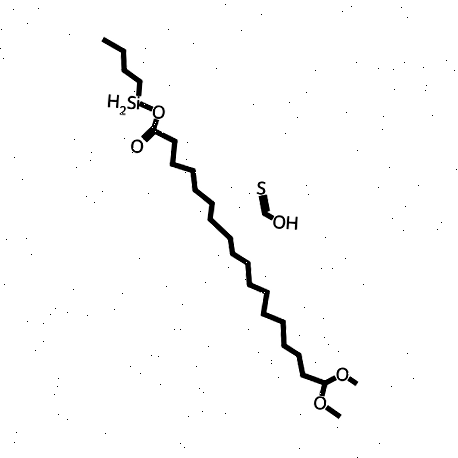 CCCC[SiH2]OC(=O)CCCCCCCCCCCCCCCCC(OC)OC.OC=S